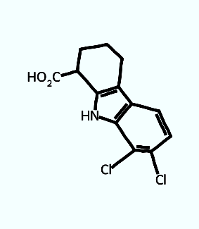 O=C(O)C1CCCc2c1[nH]c1c(Cl)c(Cl)ccc21